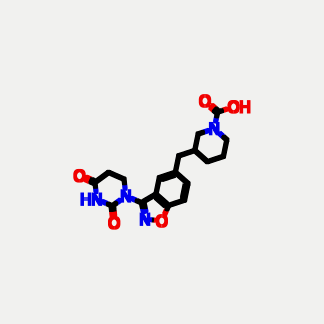 O=C1CCN(c2noc3ccc(CC4CCCN(C(=O)O)C4)cc23)C(=O)N1